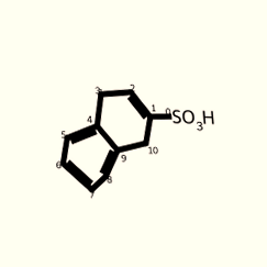 O=S(=O)(O)C1=C[CH]c2ccccc2C1